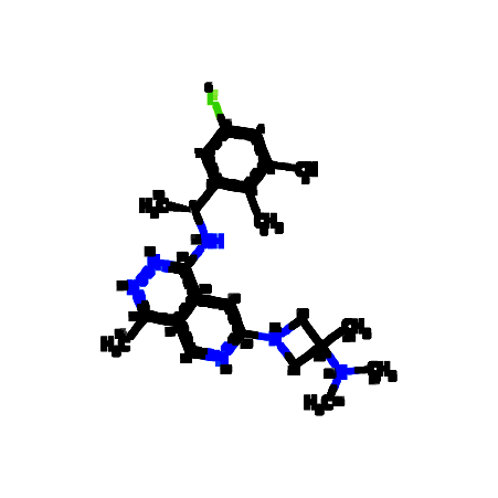 Cc1c(C#N)cc(F)cc1[C@@H](C)Nc1nnc(C)c2cnc(N3CC(C)(N(C)C)C3)cc12